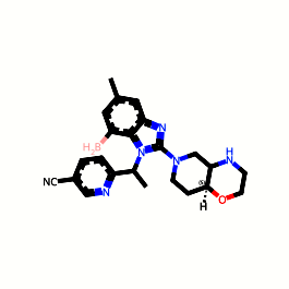 Bc1cc(C)cc2nc(N3CC[C@@H]4OCCNC4C3)n(C(C)c3ccc(C#N)cn3)c12